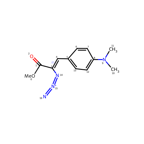 COC(=O)/C(=C/c1ccc(N(C)C)cc1)N=[N+]=[N-]